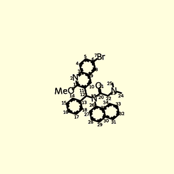 COc1nc2ccc(Br)cc2cc1C(c1ccccc1)N(C(=O)CN(C)C)c1cccc2ccccc12